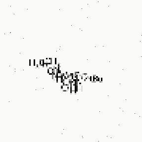 COc1ccc(C(C)(C)C)cc1NC(=O)Nc1ccc(Oc2ccnc(OCCN(C)C)n2)c2ccccc12